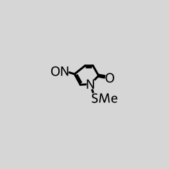 CSn1cc(N=O)ccc1=O